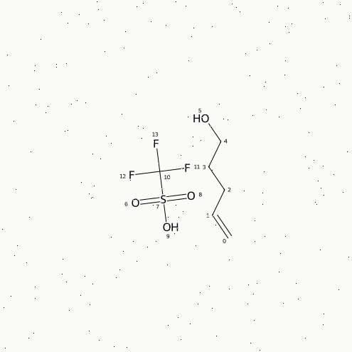 C=CCCCO.O=S(=O)(O)C(F)(F)F